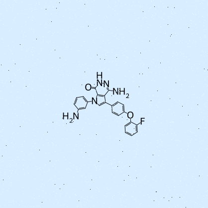 Nc1cccc(-n2cc(-c3ccc(Oc4ccccc4F)cc3)c3c(N)n[nH]c(=O)c32)c1